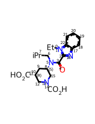 CCn1c(C(=O)N(CC(C)C)[C@H]2C[C@@H](C(=O)O)CN(C(=O)O)C2)nc2ccccc21